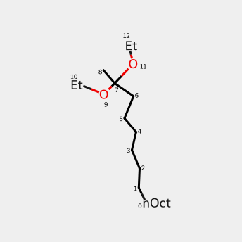 CC[CH]CCCCCCCCCCCC(C)(OCC)OCC